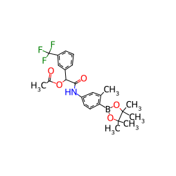 CC(=O)OC(C(=O)Nc1ccc(B2OC(C)(C)C(C)(C)O2)c(C)c1)c1cccc(C(F)(F)F)c1